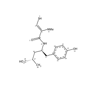 CN/C(=C\S)C(=O)N[C@@H](Cc1ccc(O)cc1)C[C@H](C)C(=O)O